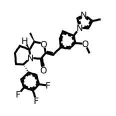 COc1cc(/C=C2\O[C@H](C)[C@H]3CCC[C@@H](c4cc(F)c(F)c(F)c4)N3C2=O)ccc1-n1cnc(C)c1